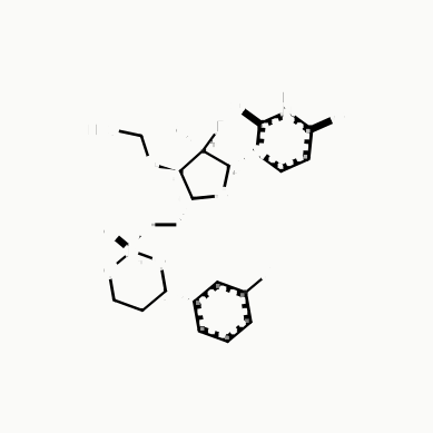 CCO[C@@H]1[C@@H](CO[P@@]2(=O)OCC[C@@H](c3cccc(Cl)c3)O2)O[C@@H](n2ccc(=O)[nH]c2=O)[C@]1(C)F